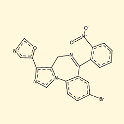 O=[N+]([O-])c1ccccc1C1=NCc2c(-c3cnco3)ncn2-c2ccc(Br)cc21